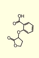 O=C(O)c1ccccc1OC1CCOC1=O